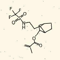 C=C(C)C(=O)OC1CC2CCC1C2CCNS(=O)(=O)C(F)(F)F